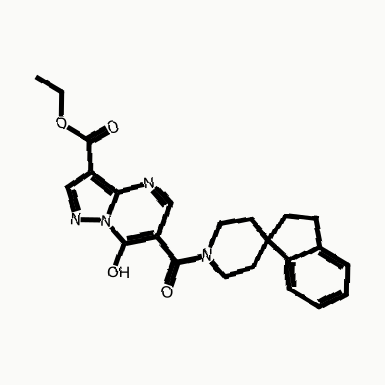 CCOC(=O)c1cnn2c(O)c(C(=O)N3CCC4(CCc5ccccc54)CC3)cnc12